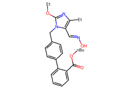 CCCCOC(=O)c1ccccc1-c1ccc(Cn2c(OCC)nc(CC)c2C=NO)cc1